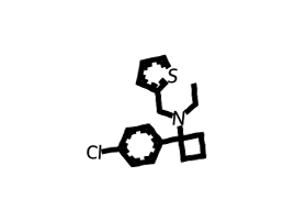 CCN(Cc1cccs1)C1(c2ccc(Cl)cc2)CCC1